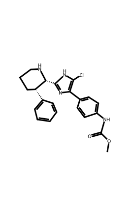 COC(=O)Nc1ccc(-c2nc([C@H]3NCCC[C@H]3c3ccccc3)[nH]c2Cl)cc1